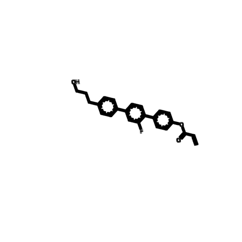 C=CC(=O)Oc1ccc(-c2ccc(-c3ccc(CCCO)cc3)cc2F)cc1